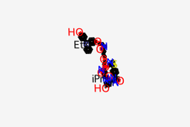 CC/C(=C(\c1ccc(O)cc1)c1ccc(OCCN(C)C(=O)CCCOCCOc2cc([C@@H](C(=O)N3C[C@H](O)C[C@H]3C3=NC(=O)[C@](C)(c4ccc(-c5scnc5C)cc4)N3)C(C)C)on2)cc1)c1ccccc1